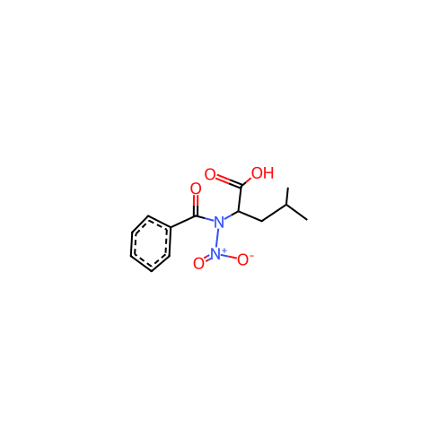 CC(C)CC(C(=O)O)N(C(=O)c1ccccc1)[N+](=O)[O-]